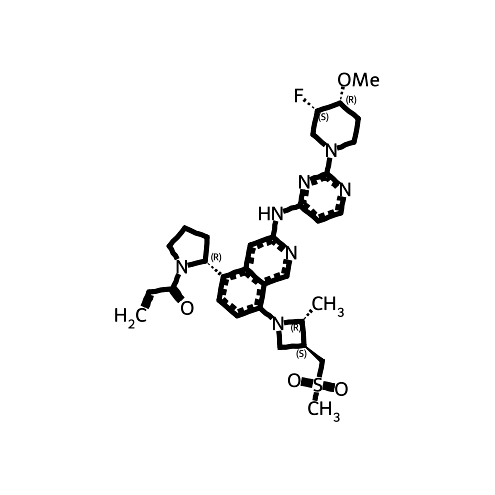 C=CC(=O)N1CCC[C@@H]1c1ccc(N2C[C@H](CS(C)(=O)=O)[C@H]2C)c2cnc(Nc3ccnc(N4CC[C@@H](OC)[C@@H](F)C4)n3)cc12